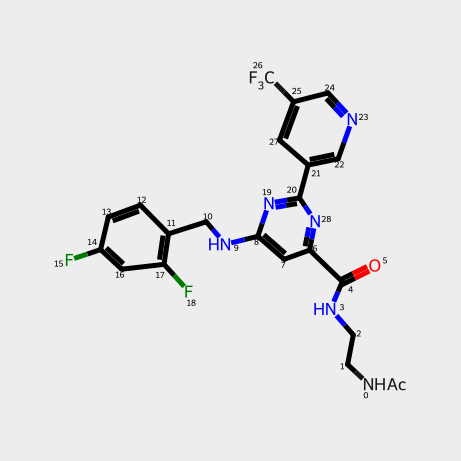 CC(=O)NCCNC(=O)c1cc(NCc2ccc(F)cc2F)nc(-c2cncc(C(F)(F)F)c2)n1